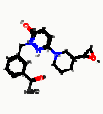 COC(=O)c1cccc(Cn2nc(N3CCCC(C4CO4)C3)ccc2=O)c1